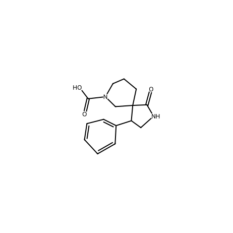 O=C(O)N1CCCC2(C1)C(=O)NCC2c1ccccc1